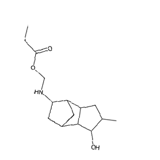 CCC(=O)OCNC1CC2CC1C1CC(C)C(O)C21